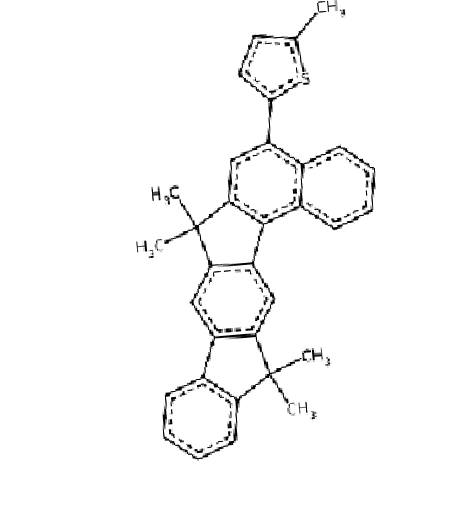 Cc1ccc(-c2cc3c(c4ccccc24)-c2cc4c(cc2C3(C)C)-c2ccccc2C4(C)C)s1